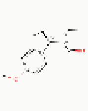 CC[C@H](C=O)[C@@H]1CCc2cc(OC)ccc21